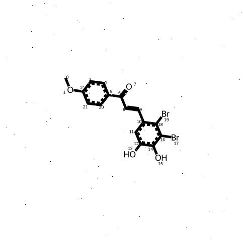 COc1ccc(C(=O)/C=C/c2cc(O)c(O)c(Br)c2Br)cc1